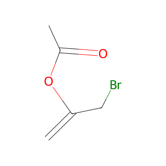 C=C(CBr)OC(C)=O